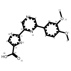 COc1ccc(-c2cncc(-c3nc(C(=O)O)cs3)n2)cc1OC